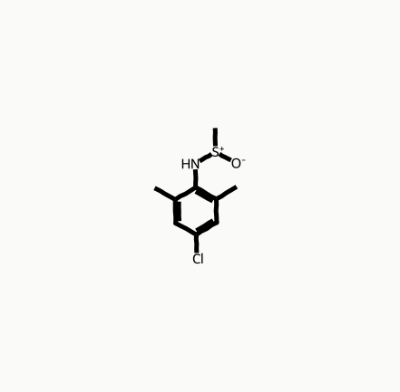 Cc1cc(Cl)cc(C)c1N[S+](C)[O-]